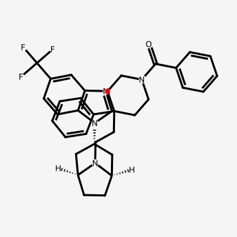 O=C(c1ccccc1)N1CCC(CCN2[C@@H]3CC[C@H]2C[C@H](n2cnc4cc(C(F)(F)F)ccc42)C3)(c2ccccc2)CC1